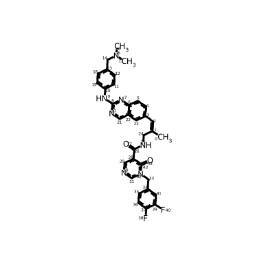 CC(=Cc1ccc2nc(Nc3ccc(CN(C)C)cc3)ncc2c1)CNC(=O)c1cncn(Cc2ccc(F)c(F)c2)c1=O